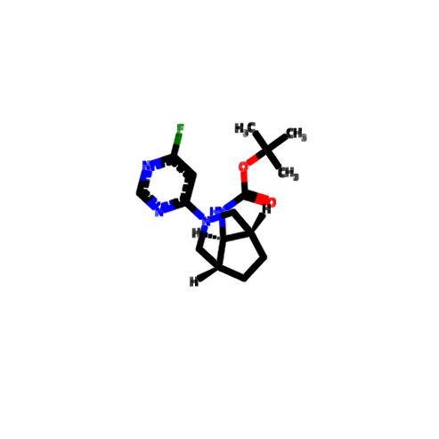 CC(C)(C)OC(=O)N[C@@H]1[C@@H]2CC[C@H]1CN(c1cc(F)ncn1)C2